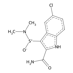 CN(C)[S+]([O-])c1c(C(N)=O)[nH]c2ccc(Cl)cc12